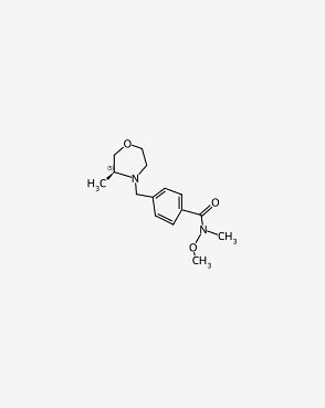 CON(C)C(=O)c1ccc(CN2CCOC[C@@H]2C)cc1